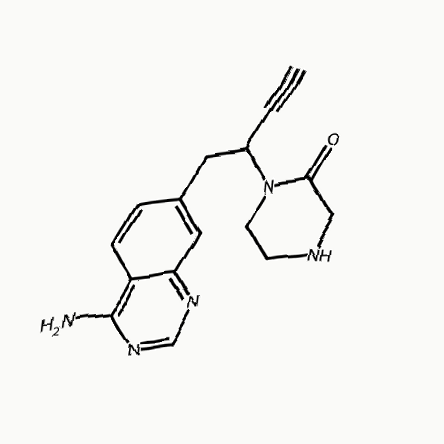 C#CC(Cc1ccc2c(N)ncnc2c1)N1CCNCC1=O